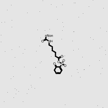 CCCCCCCCCC(=O)NCCCCCC(=O)OS(=O)(=O)C1=CC=CCC1=O